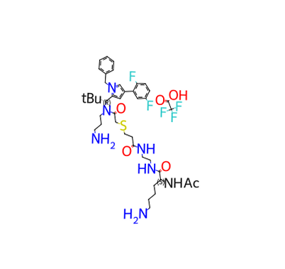 CC(=O)N[C@@H](CCCCN)C(=O)NCCNC(=O)CCSCC(=O)N(CCCN)[C@@H](c1cc(-c2cc(F)ccc2F)cn1Cc1ccccc1)C(C)(C)C.O=C(O)C(F)(F)F